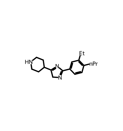 CCCc1ccc(C2=NCC(C3CCNCC3)=N2)cc1CC